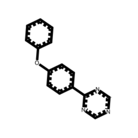 [c]1ncnc(-c2ccc(Oc3ccccc3)cc2)n1